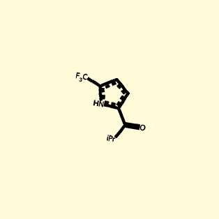 CC(C)C(=O)c1ccc(C(F)(F)F)[nH]1